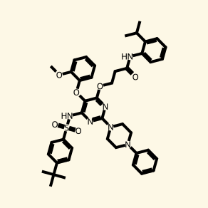 COc1ccccc1Oc1c(NS(=O)(=O)c2ccc(C(C)(C)C)cc2)nc(N2CCN(c3ccccc3)CC2)nc1OCCC(=O)Nc1ccccc1C(C)C